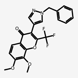 COc1ccc2c(=O)c(-c3cnn(Cc4ccccc4)c3)c(C(F)(F)F)oc2c1OC